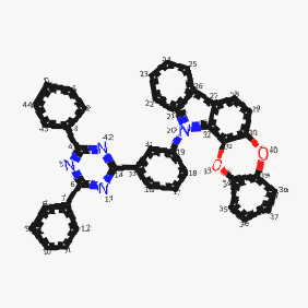 c1ccc(-c2nc(-c3ccccc3)nc(-c3cccc(-n4c5ccccc5c5ccc6c(c54)Oc4ccccc4O6)c3)n2)cc1